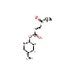 CCC(C)C1CCC(OC(=O)/C=C/C(=O)OCC(C)C)CC1